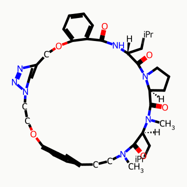 CC(C)C[C@H]1NC(=O)c2ccccc2OCc2cn(nn2)CCOc2ccc(cc2)CCN(C)C(=O)[C@H](CC(C)C)N(C)C(=O)[C@@H]2CCCN2C1=O